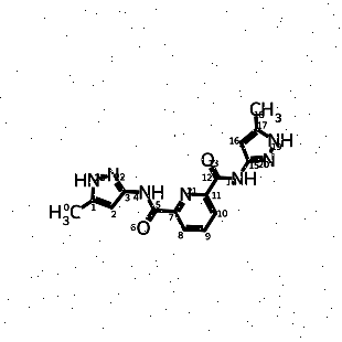 Cc1cc(NC(=O)c2cccc(C(=O)Nc3cc(C)[nH]n3)n2)n[nH]1